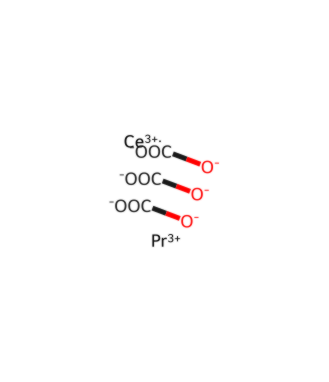 O=C([O-])[O-].O=C([O-])[O-].O=C([O-])[O-].[Ce+3].[Pr+3]